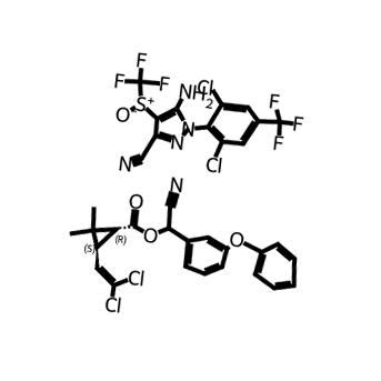 CC1(C)[C@H](C=C(Cl)Cl)[C@H]1C(=O)OC(C#N)c1cccc(Oc2ccccc2)c1.N#Cc1nn(-c2c(Cl)cc(C(F)(F)F)cc2Cl)c(N)c1[S+]([O-])C(F)(F)F